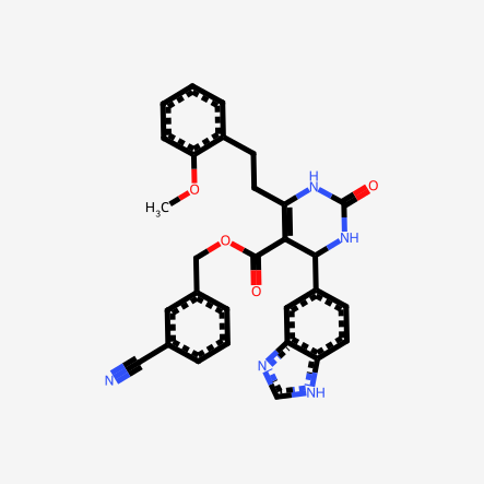 COc1ccccc1CCC1=C(C(=O)OCc2cccc(C#N)c2)C(c2ccc3[nH]cnc3c2)NC(=O)N1